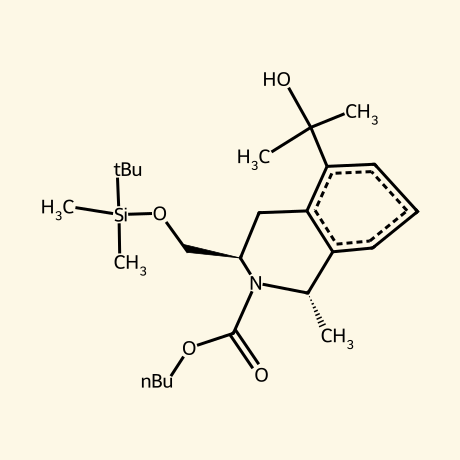 CCCCOC(=O)N1[C@@H](CO[Si](C)(C)C(C)(C)C)Cc2c(cccc2C(C)(C)O)[C@@H]1C